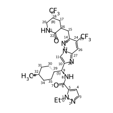 CCn1nccc1C(=O)N[C@H](c1cn2nc(CC3C[C@@H](C(F)(F)F)CNC3=O)c(C(F)(F)F)cc2n1)[C@H]1CC[C@H](C)CC1